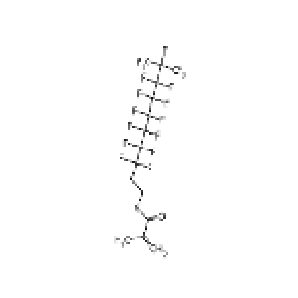 C=C(C)C(=O)SCCC(F)(F)C(F)(F)C(F)(F)C(F)(F)C(F)(F)C(F)(F)C(F)(C(F)(F)F)C(F)(F)F